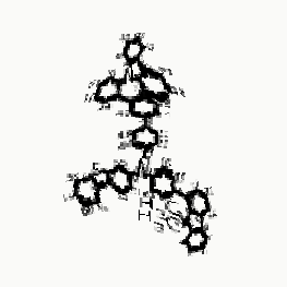 CC1(C)c2ccccc2-c2cccc(-c3ccc(N(c4ccc(-c5cccc(-c6ccccc6-n6c7ccccc7c7ccccc76)c5)cc4)c4ccc5c(c4)sc4ccccc45)cc3)c21